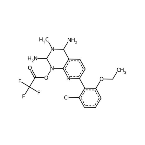 CCOc1cccc(Cl)c1-c1ccc2c(n1)N(OC(=O)C(F)(F)F)C(N)N(C)C2N